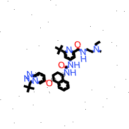 CCN(C)CCNC(=O)c1cc(NC(=O)N[C@H]2CC[C@@H](Oc3ccc4nnc(C(C)(C)C)n4c3)c3ccccc32)cc(C(C)(C)C)n1